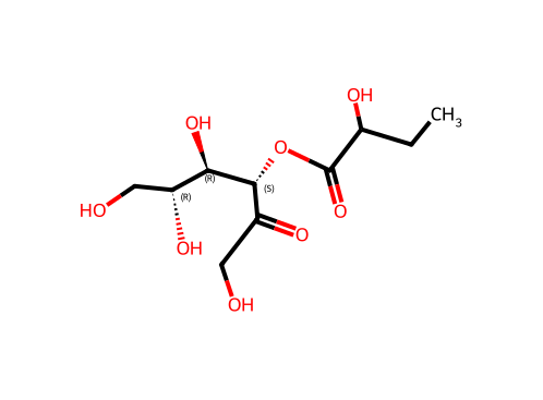 CCC(O)C(=O)O[C@H](C(=O)CO)[C@H](O)[C@H](O)CO